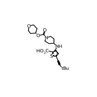 CC(C)(C)C#Cc1cc(NC2CCN(C(=O)OC3CCOCC3)CC2)c(C(=O)O)s1